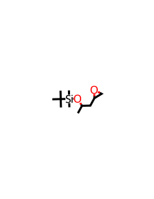 CC(CC1CO1)O[Si](C)(C)C(C)(C)C